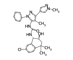 Cc1c(-c2cnn(C)c2)nn(-c2ccccc2)c1NC(=O)N[C@H]1c2cc(Cl)ccc2C(C)(C)C[C@@H]1O